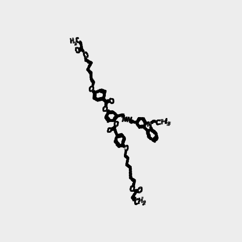 C=CC(=O)OCCCCCCOc1ccc(C(=O)Oc2ccc(OC(=O)c3ccc(OCCCCCCOC(=O)C=C)cc3)c(/C=N/N=C/c3ccc4c(c3)c3ccccc3n4CC)c2)cc1